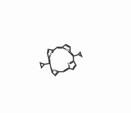 C1=Cc2nc1cc1ccc([nH]1)c(C1CC1)c1nc(cc3ccc([nH]3)c2C2CC2)C=C1